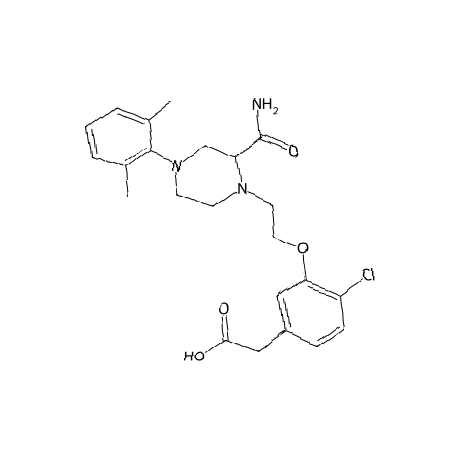 Cc1cccc(C)c1N1CCN(CCOc2cc(CC(=O)O)ccc2Cl)C(C(N)=O)C1